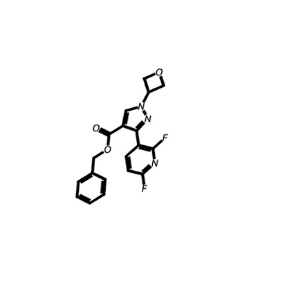 O=C(OCc1ccccc1)c1cn(C2COC2)nc1-c1ccc(F)nc1F